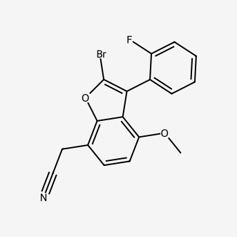 COc1ccc(CC#N)c2oc(Br)c(-c3ccccc3F)c12